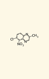 Cc1cnc2c([N+](=O)[O-])c(Cl)ccc2n1